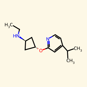 CCN[C@H]1C[C@H](Oc2cc(C(C)C)ccn2)C1